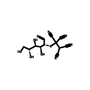 N#CC(C#N)C(C#N)(C#N)O[C@@H](C=O)[C@@H](O)[C@H](O)[C@H](O)CO